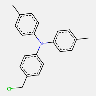 Cc1ccc(N(c2ccc(C)cc2)c2ccc(CCl)cc2)cc1